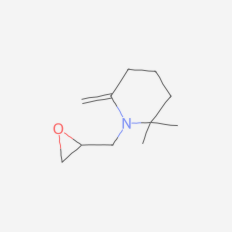 C=C1CCCC(C)(C)N1CC1CO1